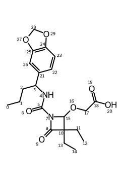 CCCC(NC(=O)N1C(=O)C(CC)(CC)C1OCC(=O)O)c1ccc2c(c1)OCO2